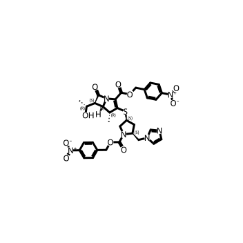 C[C@@H](O)[C@H]1C(=O)N2C(C(=O)OCc3ccc([N+](=O)[O-])cc3)=C(S[C@H]3C[C@@H](Cn4ccnc4)N(C(=O)OCc4ccc([N+](=O)[O-])cc4)C3)[C@H](C)[C@H]12